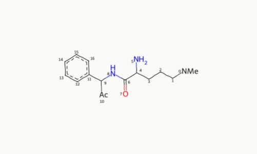 CNCCCC(N)C(=O)NC(C(C)=O)c1ccccc1